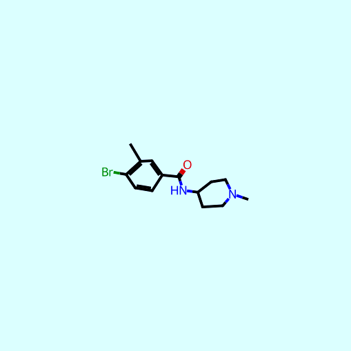 Cc1cc(C(=O)NC2CCN(C)CC2)ccc1Br